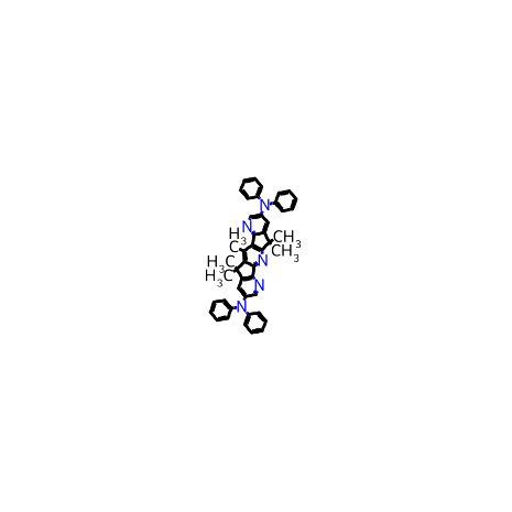 Cc1c2c(nc3c1C(C)(C)c1cc(N(c4ccccc4)c4ccccc4)cnc1-3)C(C)(C)c1cc(N(c3ccccc3)c3ccccc3)cnc1-2